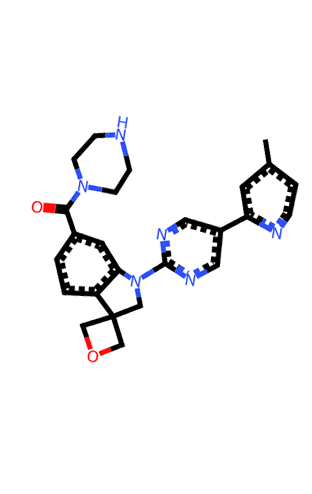 Cc1ccnc(-c2cnc(N3CC4(COC4)c4ccc(C(=O)N5CCNCC5)cc43)nc2)c1